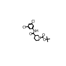 CC(C)(C)OC(=O)N1CCCC(C(=O)Nc2cc(Cl)cc(Cl)c2)C1